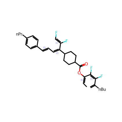 C=C(CCCC)/C(F)=C(F)\C(=C/C)OC(=O)C1CCC(C(=C/C=C/c2ccc(CCC)cc2)/C(F)=C/F)CC1